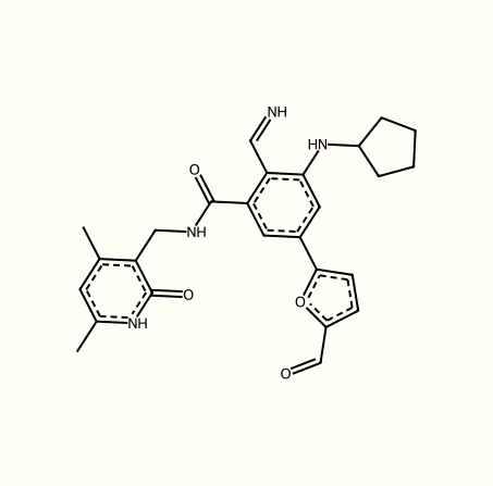 Cc1cc(C)c(CNC(=O)c2cc(-c3ccc(C=O)o3)cc(NC3CCCC3)c2C=N)c(=O)[nH]1